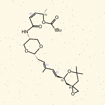 CC(/C=C/[C@@H]1C[C@]2(CO2)CC(C)(C)O1)=C\C[C@H]1OC[C@@H](NC(=O)/C=C\[C@H](C)OC(=O)C(C)(C)C)CO1